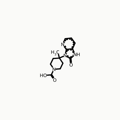 CC1(n2c(=O)[nH]c3cccnc32)CCN(C(=O)O)CC1